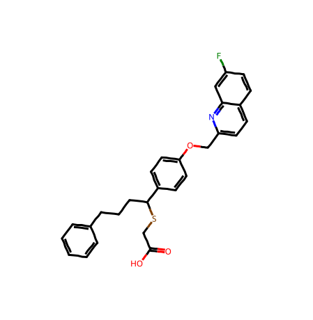 O=C(O)CSC(CCCc1ccccc1)c1ccc(OCc2ccc3ccc(F)cc3n2)cc1